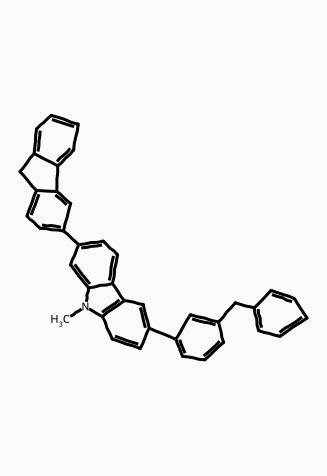 Cn1c2ccc(-c3cccc(Cc4ccccc4)c3)cc2c2ccc(-c3ccc4c(c3)-c3ccccc3C4)cc21